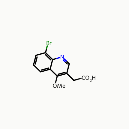 COc1c(CC(=O)O)cnc2c(Br)cccc12